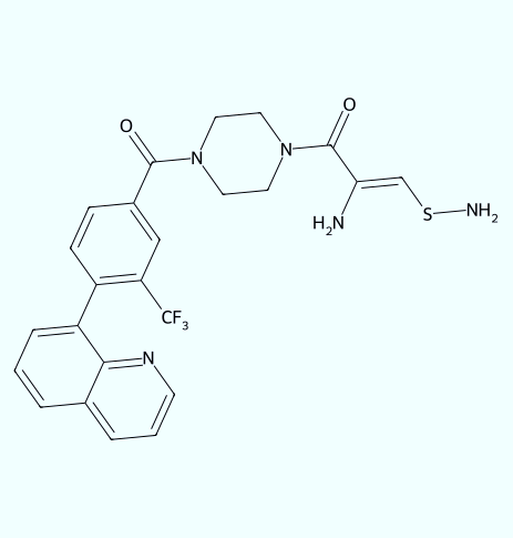 NS/C=C(\N)C(=O)N1CCN(C(=O)c2ccc(-c3cccc4cccnc34)c(C(F)(F)F)c2)CC1